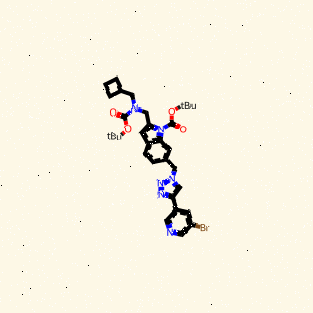 CC(C)(C)OC(=O)N(Cc1cc2ccc(Cn3cc(-c4cncc(Br)c4)nn3)cc2n1C(=O)OC(C)(C)C)CC1CCC1